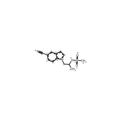 CC(Cn1ccc2cc(C#N)ccc21)OS(C)(=O)=O